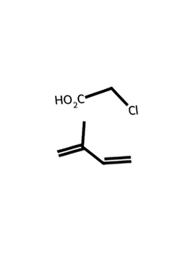 C=CC(=C)C.O=C(O)CCl